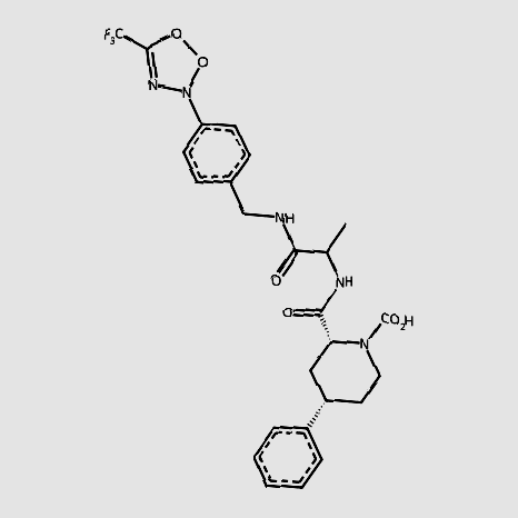 CC(NC(=O)[C@H]1C[C@@H](c2ccccc2)CCN1C(=O)O)C(=O)NCc1ccc(N2N=C(C(F)(F)F)OO2)cc1